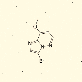 COc1ccnn2c(Br)cnc12